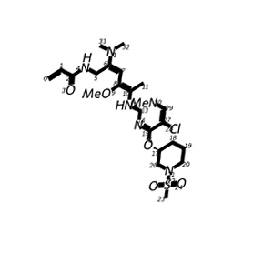 C=CC(=O)NC/C(=C\C(OC)=C(/C)NC/N=C(O[C@@H]1CCCN(S(C)(=O)=O)C1)\C(Cl)=C/NC)N(C)C